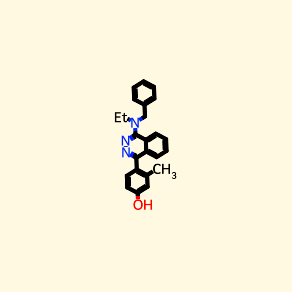 CCN(Cc1ccccc1)c1nnc(-c2ccc(O)cc2C)c2ccccc12